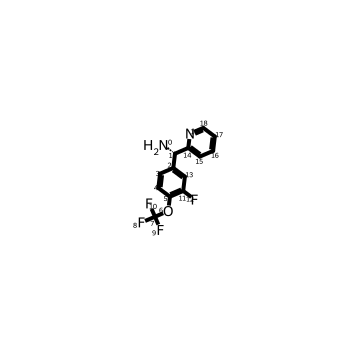 N[C@@H](c1ccc(OC(F)(F)F)c(F)c1)c1ccccn1